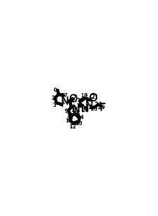 CC1CCCN(C(=O)C2Cc3ccccc3N2c2ccc(=O)n(CCF)n2)C1